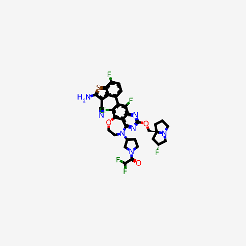 N#Cc1c(N)sc2c(F)ccc(-c3c(Cl)c4c5c(nc(OC[C@@]67CCCN6C[C@H](F)C7)nc5c3F)N(C3CCN(C(=O)C(F)F)C3)CCO4)c12